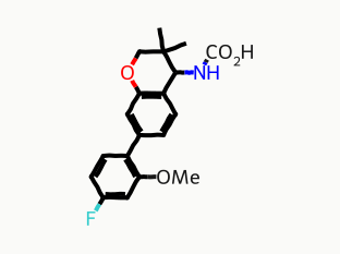 COc1cc(F)ccc1-c1ccc2c(c1)OCC(C)(C)C2NC(=O)O